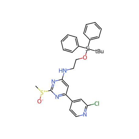 C[S+]([O-])c1nc(NCCO[Si](c2ccccc2)(c2ccccc2)C(C)(C)C)cc(-c2ccnc(Cl)c2)n1